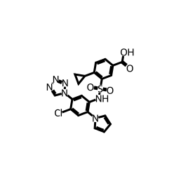 O=C(O)c1ccc(C2CC2)c(S(=O)(=O)Nc2cc(-n3cnnn3)c(Cl)cc2-n2cccc2)c1